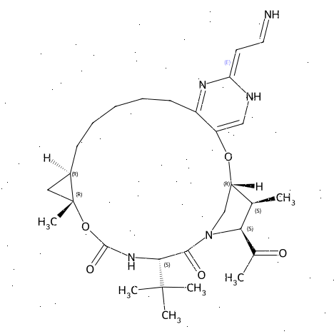 CC(=O)[C@@H]1[C@H](C)[C@@H]2CN1C(=O)[C@H](C(C)(C)C)NC(=O)O[C@]1(C)C[C@H]1CCCCCC1=N/C(=C/C=N)NC=C1O2